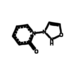 O=c1ccccn1N1C=CON1